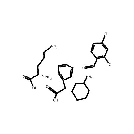 NC1CCCCC1.NCCC[C@H](N)C(=O)O.O=C(O)Cc1ccccc1.O=Cc1ccc(Cl)cc1Cl